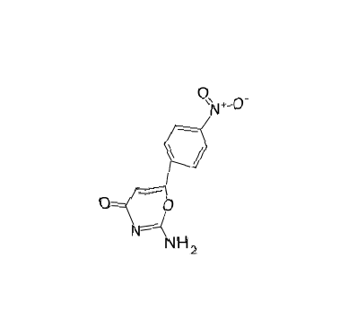 Nc1nc(=O)cc(-c2ccc([N+](=O)[O-])cc2)o1